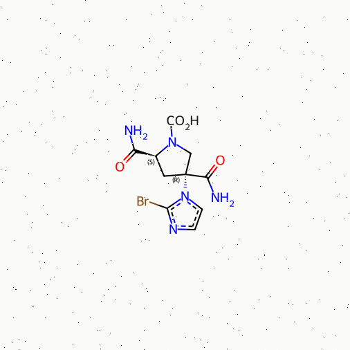 NC(=O)[C@@H]1C[C@@](C(N)=O)(n2ccnc2Br)CN1C(=O)O